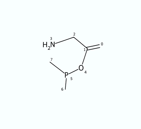 C=C(CN)OP(C)C